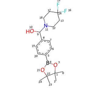 CC1(C)OB(c2ccc(C(O)N3CCC(F)(F)CC3)cc2)OC1(C)C